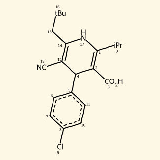 CC(C)C1=C(C(=O)O)C(c2ccc(Cl)cc2)C(C#N)=C(CC(C)(C)C)N1